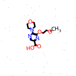 COCCOc1nc(C(=O)O)cnc1N1CCOCC1